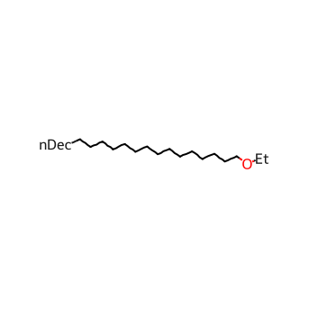 [CH2]COCCCCCCCCCCCCCCCCCCCCCCCCC